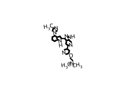 Cc1cn(-c2cccc3[nH]c(-c4n[nH]c5cnc(-c6cncc(OCCN(C)C)c6)cc45)cc23)cn1